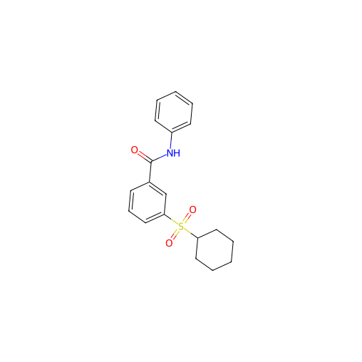 O=C(Nc1ccccc1)c1cccc(S(=O)(=O)C2CCCCC2)c1